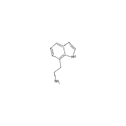 NCCc1cccc2cc[nH]c12